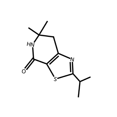 CC(C)c1nc2c(s1)C(=O)NC(C)(C)C2